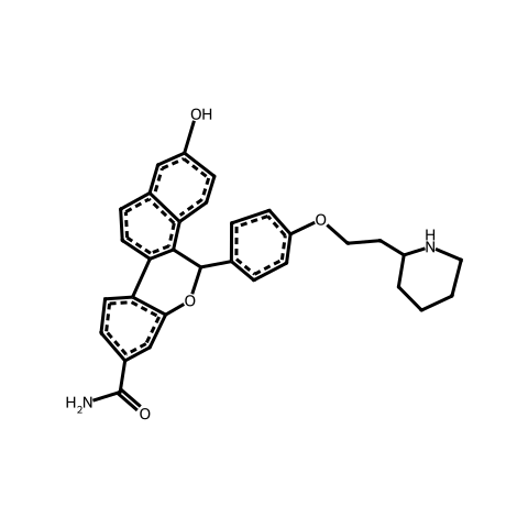 NC(=O)c1ccc2c(c1)OC(c1ccc(OCCC3CCCCN3)cc1)c1c-2ccc2cc(O)ccc12